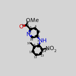 COC(=O)c1ccc(Nc2c(C)cccc2[N+](=O)[O-])cn1